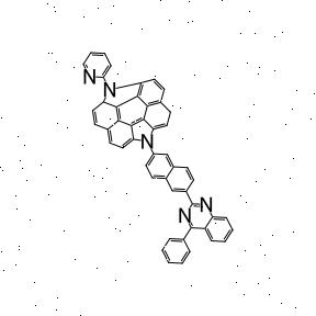 C1=CC2c3c4c(ccc5c4c4c(n(-c6ccc7cc(-c8nc(-c9ccccc9)c9ccccc9n8)ccc7c6)c6ccc1c3c46)=CC5)N2c1ccccn1